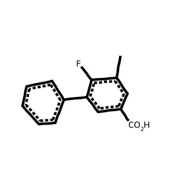 Cc1cc(C(=O)O)cc(-c2ccccc2)c1F